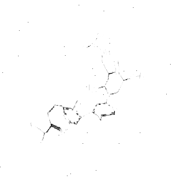 CC1CN(c2cc(-c3cnc(/C=C\C(=N)C(F)F)[nH]3)ncn2)C(C)C(CN[S+](C)[O-])N1